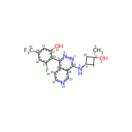 C[C@]1(O)C[C@@H](Nc2nnc(-c3c(O)cc(C(F)(F)F)cc3F)c3ccncc23)C1